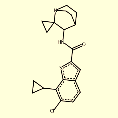 O=C(NC1C2CCN(CC2)C12CC2)c1cc2ccc(Cl)c(C3CC3)c2s1